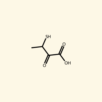 CC(S)C(=O)C(=O)O